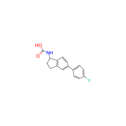 O=C(O)NC1CCc2cc(-c3ccc(F)cc3)ccc21